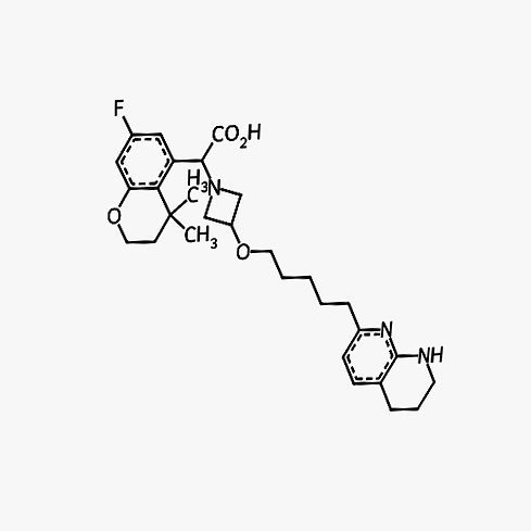 CC1(C)CCOc2cc(F)cc(C(C(=O)O)N3CC(OCCCCCc4ccc5c(n4)NCCC5)C3)c21